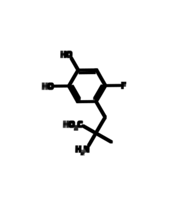 CC(N)(Cc1cc(O)c(O)cc1F)C(=O)O